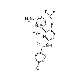 C[C@@]1(c2nc(NC(=O)c3ccc(Cl)cn3)ccc2F)C[C@@H](C(F)(F)F)OC(N)=N1